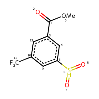 COC(=O)c1cc([SH](=O)=O)cc(C(F)(F)F)c1